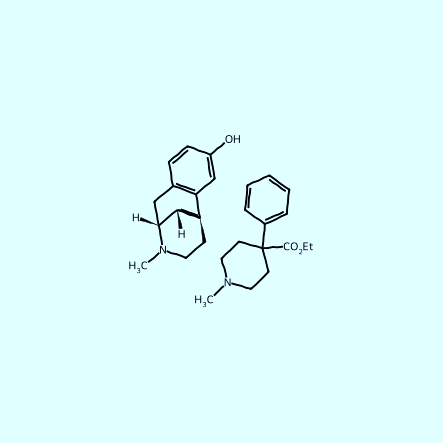 CCOC(=O)C1(c2ccccc2)CCN(C)CC1.CN1CC[C@]23CCCC[C@H]2[C@H]1Cc1ccc(O)cc13